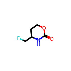 O=C1NC(CF)CCO1